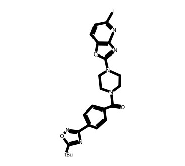 CC(C)(C)c1nc(-c2ccc(C(=O)N3CCN(c4nc5nc(I)ccc5o4)CC3)cc2)no1